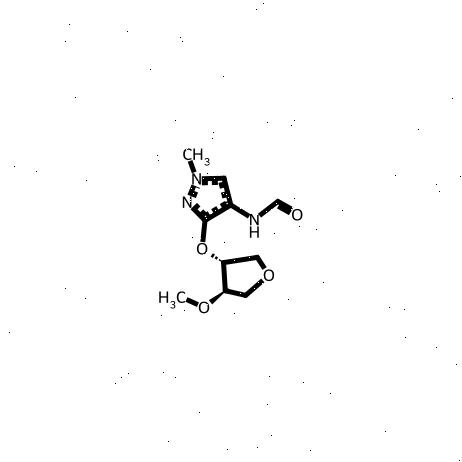 CO[C@@H]1COC[C@H]1Oc1nn(C)cc1NC=O